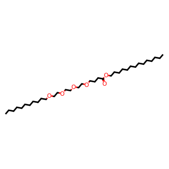 CCCCCCCCCCCCCCOC(=O)CCCOCCOCCOCCOCCCCCCCCCCC